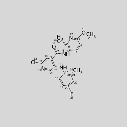 COc1ccc(NC(=O)c2cc(Cl)ncc2Nc2ccc(F)cc2C)c(C)n1